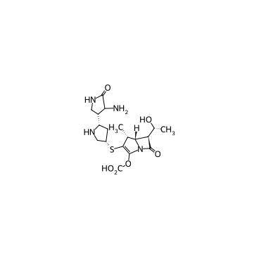 C[C@@H](O)[C@H]1C(=O)N2C(OC(=O)O)=C(S[C@@H]3CN[C@H](C4CNC(=O)C4N)C3)[C@H](C)[C@H]12